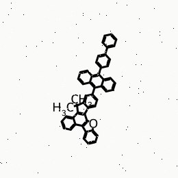 CC1(C)c2cc(-c3c4ccccc4c(-c4ccc(-c5ccccc5)cc4)c4ccccc34)ccc2-c2c1c1ccccc1c1c2oc2ccccc21